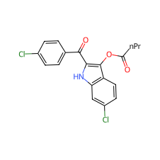 CCCC(=O)Oc1c(C(=O)c2ccc(Cl)cc2)[nH]c2cc(Cl)ccc12